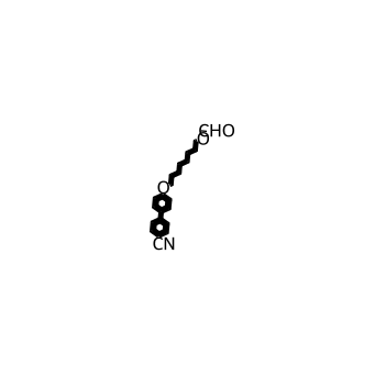 N#Cc1ccc(-c2ccc(OCCCCCCCCOC=O)cc2)cc1